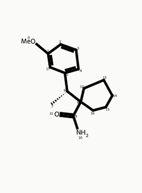 COc1cccc([C@@H](C)C2(C(N)=O)CCCCC2)c1